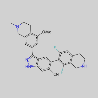 COc1cc(-c2n[nH]c3cc(C#N)c(-c4c(F)cc5c(c4F)CNCC5)cc23)cc2c1CCN(C)C2